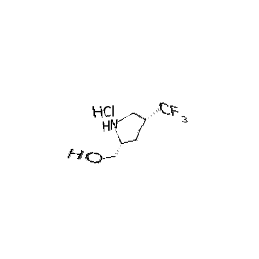 Cl.OC[C@H]1C[C@@H](C(F)(F)F)CN1